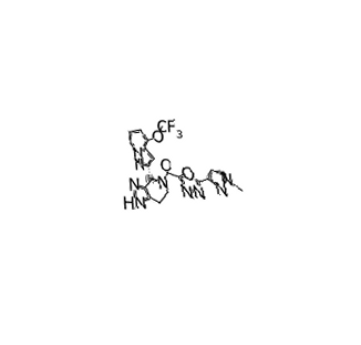 Cn1ccc(-c2nnc(C(=O)N3CCc4[nH]cnc4[C@@H]3c3cc4c(OC(F)(F)F)cccn4n3)o2)n1